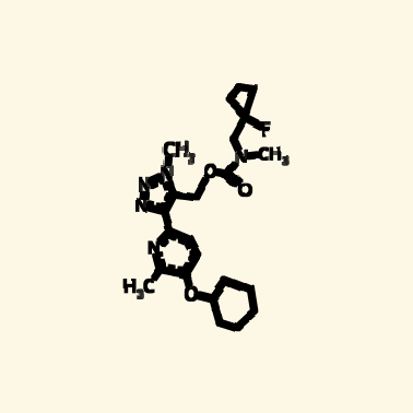 Cc1nc(-c2nnn(C)c2COC(=O)N(C)CC2(F)CCC2)ccc1OC1CCCCC1